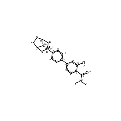 CN(C)C(=O)c1ccc(-c2ccc(N3CC4CCC(C3)N4C(=O)O)cc2)cc1Cl